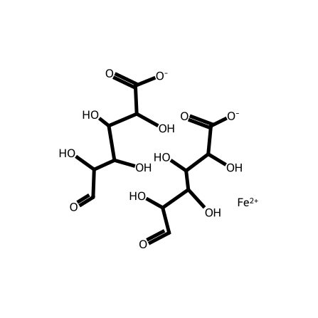 O=CC(O)C(O)C(O)C(O)C(=O)[O-].O=CC(O)C(O)C(O)C(O)C(=O)[O-].[Fe+2]